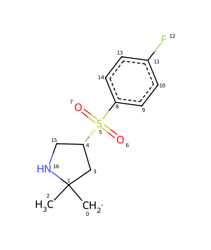 [CH2]C1(C)C[C@@H](S(=O)(=O)c2ccc(F)cc2)CN1